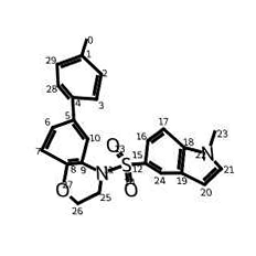 Cc1ccc(-c2ccc3c(c2)N(S(=O)(=O)c2ccc4c(ccn4C)c2)CCO3)cc1